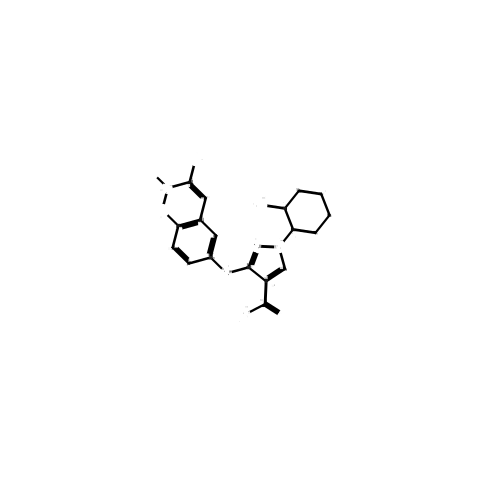 CC(C)C1=Cc2cc(Nc3nn(C4CCCCC4C#N)cc3C(N)=O)ccc2OB1O